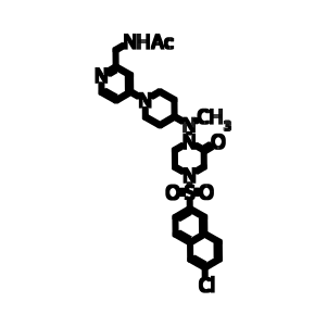 CC(=O)NCc1cc(N2CCC(N(C)N3CCN(S(=O)(=O)c4ccc5cc(Cl)ccc5c4)CC3=O)CC2)ccn1